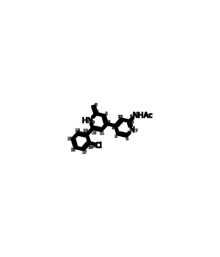 C=C1C=C(c2ccnc(NC(C)=O)c2)C=C(c2ccccc2Cl)N1